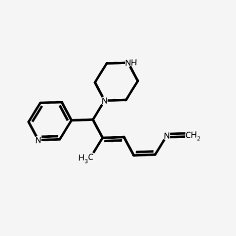 C=N/C=C\C=C(/C)C(c1cccnc1)N1CCNCC1